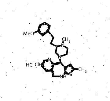 COc1cccc(CCC2CN(C3=c4ncccc4=CNc4sc(C)cc43)CCN2C)c1.Cl.Cl